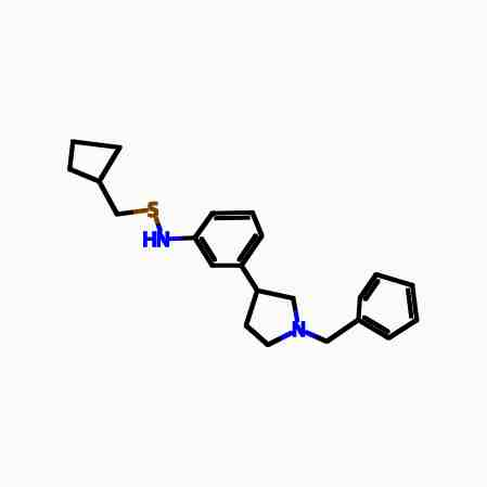 c1ccc(CN2CCC(c3cccc(NSCC4CCC4)c3)C2)cc1